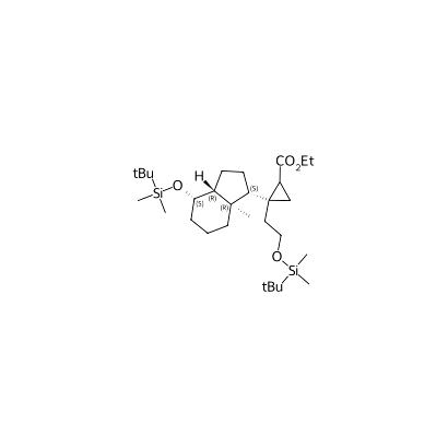 CCOC(=O)C1CC1(CCO[Si](C)(C)C(C)(C)C)[C@H]1CC[C@H]2[C@@H](O[Si](C)(C)C(C)(C)C)CCC[C@]12C